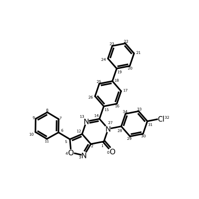 O=c1c2noc(-c3ccccc3)c2nc(-c2ccc(-c3ccccc3)cc2)n1-c1ccc(Cl)cc1